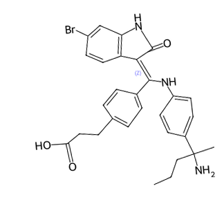 CCCC(C)(N)c1ccc(N/C(=C2\C(=O)Nc3cc(Br)ccc32)c2ccc(CCC(=O)O)cc2)cc1